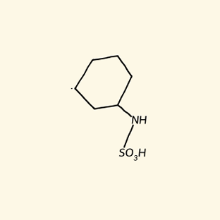 O=S(=O)(O)NC1C[CH]CCC1